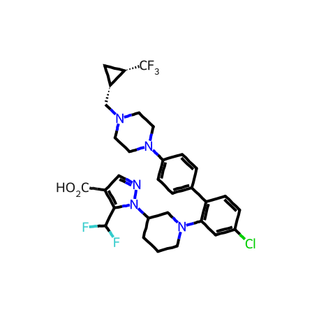 O=C(O)c1cnn(C2CCCN(c3cc(Cl)ccc3-c3ccc(N4CCN(C[C@@H]5C[C@@H]5C(F)(F)F)CC4)cc3)C2)c1C(F)F